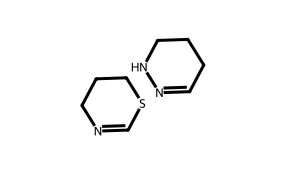 C1=NCCCS1.C1=NNCCC1